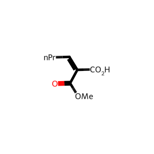 CCCC=C(C(=O)O)C(=O)OC